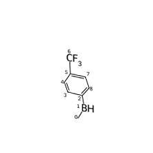 CBc1ccc(C(F)(F)F)cc1